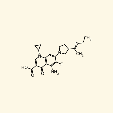 CCN=C(C)[C@@H]1CCN(c2cc3c(c(N)c2F)c(=O)c(C(=O)O)cn3C2CC2)C1